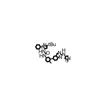 Cc1ccc(NC(=O)Nc2cc(C(C)(C)C)nn2-c2ccccc2)cc1-c1ccc2nc(Nc3cnn(C)c3)ncc2c1